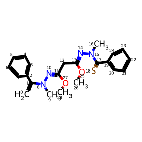 C=C(c1ccccc1)N(C)/N=C(/C/C(=N/N(C)C(=S)c1ccccc1)OC)OC